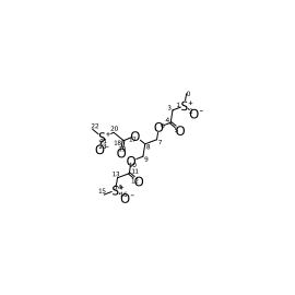 C[S+]([O-])CC(=O)OCC(COC(=O)C[S+](C)[O-])OC(=O)C[S+](C)[O-]